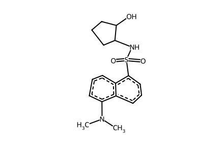 CN(C)c1cccc2c(S(=O)(=O)NC3CCCC3O)cccc12